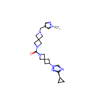 O=C(N1CC2(CC(n3cnc(C4CC4)n3)C2)C1)N1CC2(CN(Cc3cnn(C(F)(F)F)c3)C2)C1